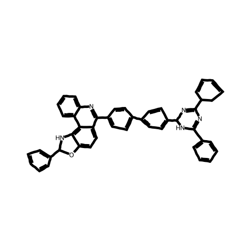 C1=CCC(C2=NC(c3ccc(-c4ccc(-c5nc6ccccc6c6c7c(ccc56)OC(c5ccccc5)N7)cc4)cc3)NC(c3ccccc3)=N2)C=C1